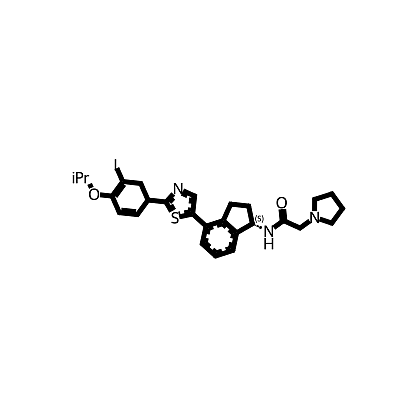 CC(C)OC1=C(I)CC(c2ncc(-c3cccc4c3CC[C@@H]4NC(=O)CN3CCCC3)s2)C=C1